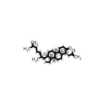 C=C(Cl)C[C@@H]1C(=O)CC[C@@]2(C)C1CC[C@H]1[C@@H]3CC[C@H]([C@H](C)CCCC(C)C)[C@@]3(C)CC[C@@H]12